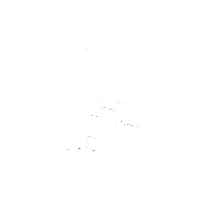 CCCCOC/C=C/CCC(CC1OC(=O)[C@H]1C)OC(=O)[C@H](C)NC=O